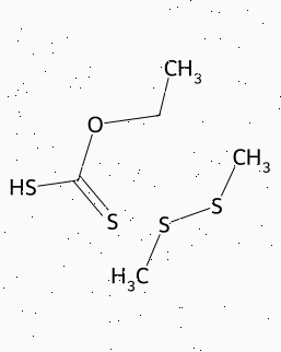 CCOC(=S)S.CSSC